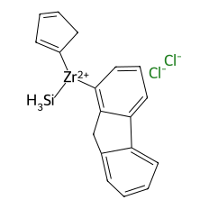 [Cl-].[Cl-].[SiH3][Zr+2]([C]1=CC=CC1)[c]1cccc2c1Cc1ccccc1-2